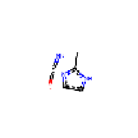 Cc1ncc[nH]1.N=C=O